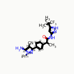 CC(C(=O)Nc1cc(C(C)(C)C(F)(F)F)[nH]n1)c1ccc(-c2nn(C(C)C)c(N)c2C#N)cc1